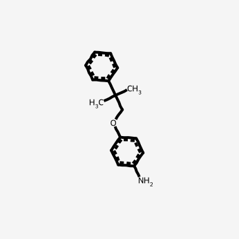 CC(C)(COc1ccc(N)cc1)c1ccccc1